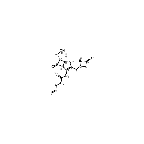 C=CCOC(=O)OC1=C(C[C@@H]2CC(=O)N2)S[C@@H]2[C@@H](CO)C(=O)N12